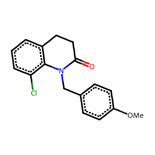 COc1ccc(CN2C(=O)CCc3cccc(Cl)c32)cc1